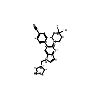 N#Cc1ccc(-c2cc3c(ccn3C[C@H]3CCNC3)nc2N2CCC(F)(F)CC2)cc1